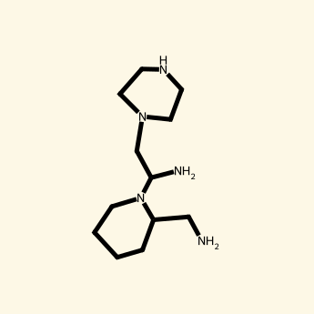 NCC1CCCCN1C(N)CN1CCNCC1